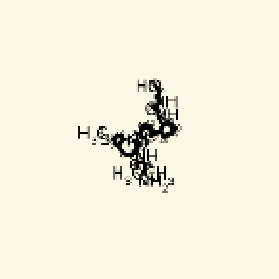 CSc1ccc2c(c1)CC[C@@H](NC(=O)CC(C)(C)N)C(=O)N2Cc1ccc(-c2ccccc2CNC(=O)NCCO)cc1